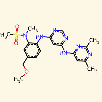 COCc1ccc(Nc2cc(Nc3cc(C)nc(C)n3)ncn2)c(N(C)S(C)(=O)=O)c1